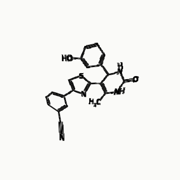 CC1=C(c2nc(-c3cccc(C#N)c3)cs2)C(c2cccc(O)c2)NC(=O)N1